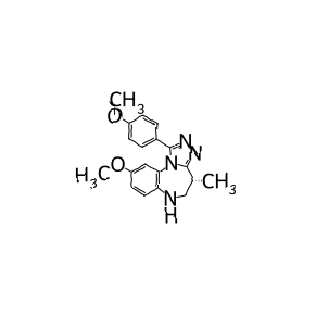 COc1ccc(-c2nnc3n2-c2cc(OC)ccc2NC[C@H]3C)cc1